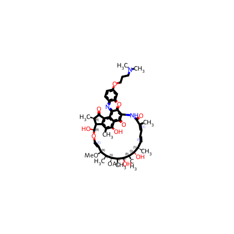 CO[C@H]1/C=C/O[C@@H](O)C2c3c(C)c(O)c4c(=O)c(c5oc6cc(OCCCN(C)C)ccc6nc-5c4c3C(=O)[C@@H]2C)NC(=O)/C(C)=C\C=C\[C@H](C)[C@H](O)[C@@H](C)[C@@H](O)[C@@H](C)[C@H](OC(C)=O)[C@@H]1C